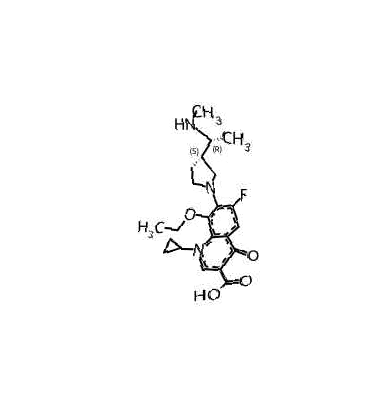 CCOc1c(N2CC[C@H]([C@@H](C)NC)C2)c(F)cc2c(=O)c(C(=O)O)cn(C3CC3)c12